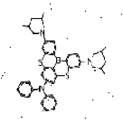 CC1CC(C)CN(c2ccc3c(c2)Sc2cc(N(c4ccccc4)c4ccccc4)cc4c2B3c2ccc(N3CC(C)CC(C)C3)cc2S4)C1